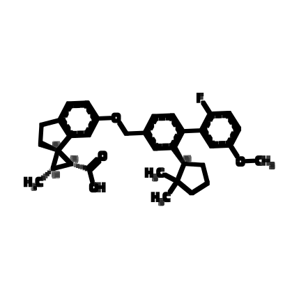 COc1ccc(F)c(-c2ccc(COc3ccc4c(c3)[C@]3(CC4)[C@H](C(=O)O)[C@@H]3C)cc2[C@H]2CCCC2(C)C)c1